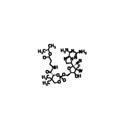 CC(C)OC(=O)CCNC(=O)[C@@H]1OP(=O)(OC[C@H]2O[C@@](C#N)(c3cnc4c(N)nc(N)nn34)C(F)(Br)[C@H]2O)OCC1(C)C